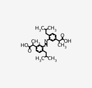 CC(C)Cc1ccc(C(C)C(=O)O)cc1N=Nc1cc(C(C)C(=O)O)ccc1CC(C)C